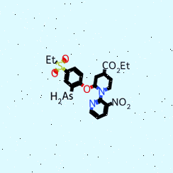 CCOC(=O)C1CCN(c2ncccc2[N+](=O)[O-])C(Oc2ccc(S(=O)(=O)CC)cc2[AsH2])C1